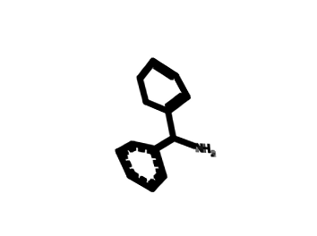 NC(C1=CC=CCC1)c1ccccc1